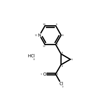 Cl.O=C(Cl)C1CC1c1cccnc1